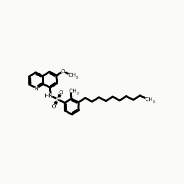 CCCCCCCCCCc1cccc(S(=O)(=O)Nc2cc(OC)cc3cccnc23)c1C